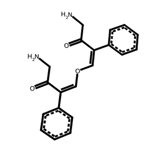 NCC(=O)C(=COC=C(C(=O)CN)c1ccccc1)c1ccccc1